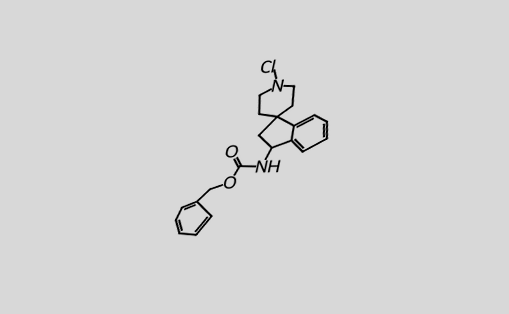 O=C(NC1CC2(CCN(Cl)CC2)c2ccccc21)OCc1ccccc1